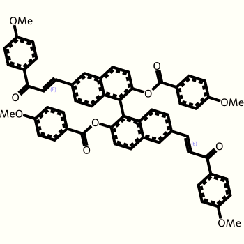 COc1ccc(C(=O)/C=C/c2ccc3c(-c4c(OC(=O)c5ccc(OC)cc5)ccc5cc(/C=C/C(=O)c6ccc(OC)cc6)ccc45)c(OC(=O)c4ccc(OC)cc4)ccc3c2)cc1